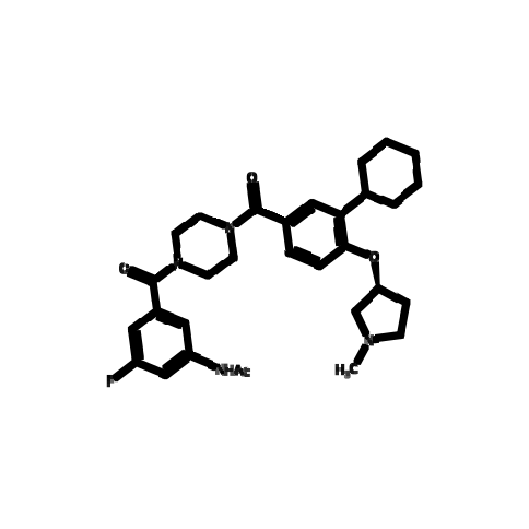 CC(=O)Nc1cc(F)cc(C(=O)N2CCN(C(=O)c3ccc(O[C@H]4CCN(C)C4)c(C4CCCCC4)c3)CC2)c1